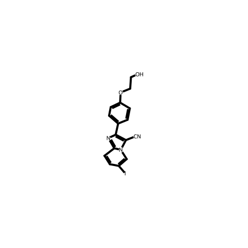 N#Cc1c(-c2ccc(OCCO)cc2)nc2ccc(I)cn12